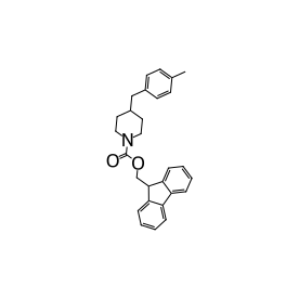 Cc1ccc(CC2CCN(C(=O)OCC3c4ccccc4-c4ccccc43)CC2)cc1